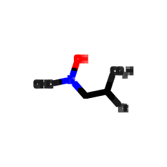 CCC(CN(O)C=O)C(=O)O